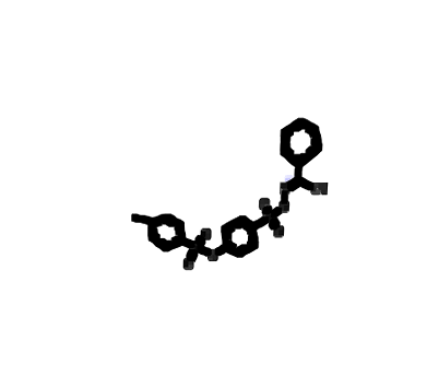 Cc1ccc(S(=O)(=O)Oc2ccc(S(=O)(=O)O/N=C(\C#N)c3ccccc3)cc2)cc1